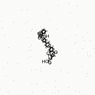 O=C(O)NCC1CN(C(=O)c2ccc(N3CCC(C4CCN(C(=O)C(O)(c5ccccc5)C(F)(F)F)CC4)CC3)cc2Cl)C1